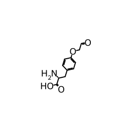 N[C@@H](Cc1ccc(OCC=O)cc1)C(=O)O